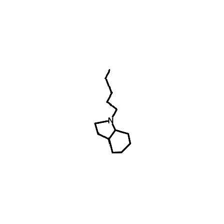 CCCCCN1CCC2CCCCC21